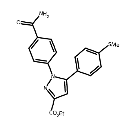 CCOC(=O)c1cc(-c2ccc(SC)cc2)n(-c2ccc(C(N)=O)cc2)n1